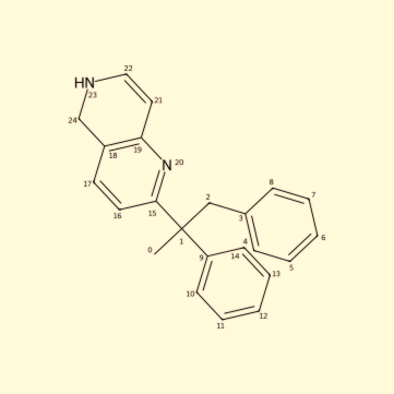 CC(Cc1ccccc1)(c1ccccc1)c1ccc2c(n1)C=CNC2